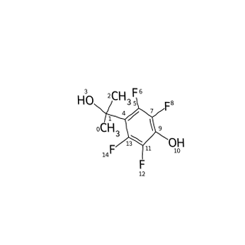 CC(C)(O)c1c(F)c(F)c(O)c(F)c1F